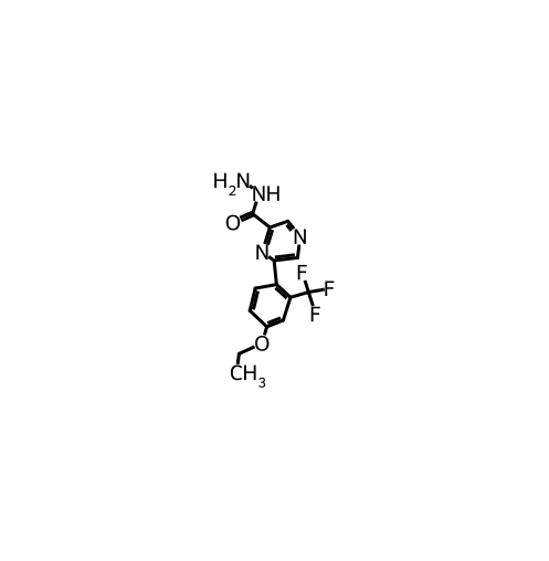 CCOc1ccc(-c2cncc(C(=O)NN)n2)c(C(F)(F)F)c1